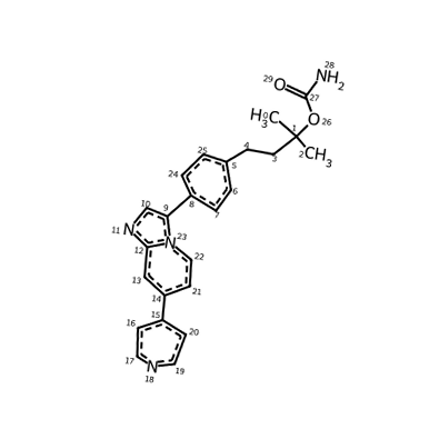 CC(C)(CCc1ccc(-c2cnc3cc(-c4ccncc4)ccn23)cc1)OC(N)=O